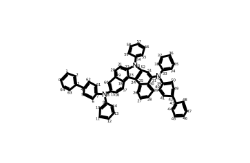 c1ccc(-c2ccc(N(c3ccccc3)c3ccc4c(ccc5c4c4c6ccccc6c(N(c6ccccc6)c6ccc(-c7ccccc7)cc6)cc4n5-c4ccccc4)c3)cc2)cc1